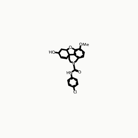 COc1ccc2c3c1OC1CC(O)C=CC31CCN(C(=O)Nc1ccc(Cl)cc1)C2